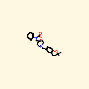 CC1(C)CCc2cc(CN3CCC4(CC3)CN(c3ccccc3)C(=O)O4)ccc2O1